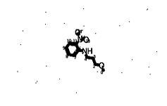 COCCCNc1ccccc1[N+](=O)[O-]